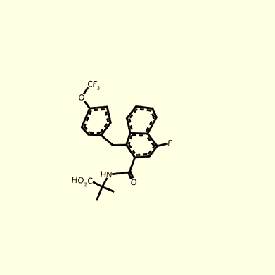 CC(C)(NC(=O)c1cc(F)c2ccccc2c1Cc1ccc(OC(F)(F)F)cc1)C(=O)O